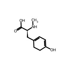 CN[C@@H](CC1=CC=C(O)CC1)C(=O)O